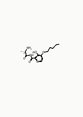 CCCCCOc1ccnc(C(=O)NC(=O)[C@H](C)N)c1O